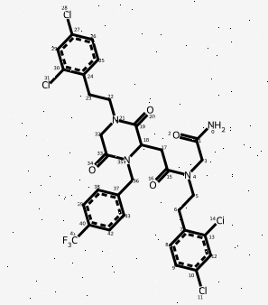 NC(=O)CN(CCc1ccc(Cl)cc1Cl)C(=O)CC1C(=O)N(CCc2ccc(Cl)cc2Cl)CC(=O)N1Cc1ccc(C(F)(F)F)cc1